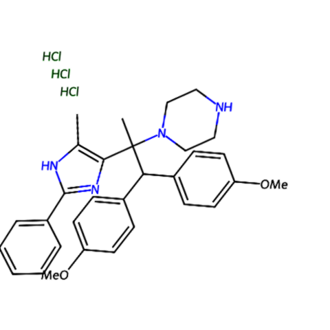 COc1ccc(C(c2ccc(OC)cc2)C(C)(c2nc(-c3ccccc3)[nH]c2C)N2CCNCC2)cc1.Cl.Cl.Cl